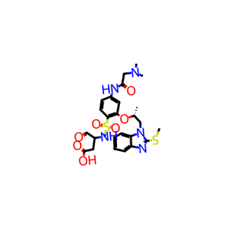 CSc1nc2ccccc2n1C[C@@H](C)Oc1cc(NC(=O)CN(C)C)ccc1S(=O)(=O)NC(C=O)CC(=O)O